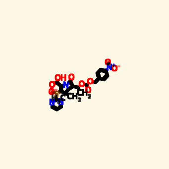 CC(OC(=O)OCc1ccc([N+](=O)[O-])cc1)C1C(=O)N2C(C(=O)O)=C([S+]([O-])c3ncccn3)C(C)(C)C12